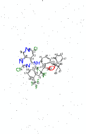 C[C@@H](Nc1nc(Cl)nc2cnc(Cl)cc12)c1cccc(C(F)(F)F)c1CC(F)(F)CO[Si](c1ccccc1)(c1ccccc1)C(C)(C)C